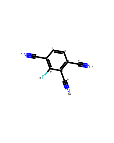 N#Cc1ccc(C#N)c(C#N)c1F